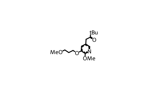 COCCCOc1cc(CC(=O)C(C)(C)C)cnc1OC